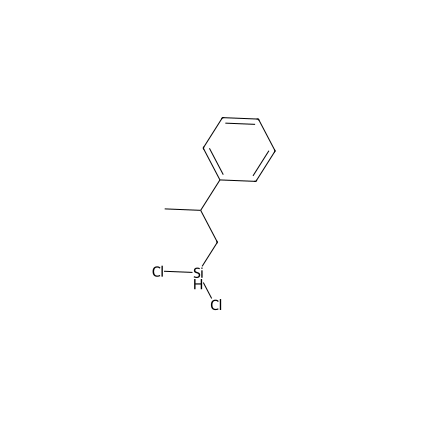 CC(C[SiH](Cl)Cl)c1ccccc1